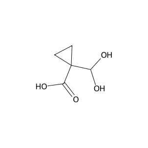 O=C(O)C1(C(O)O)CC1